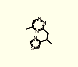 Cc1cnnc(CC(C)c2cscn2)n1